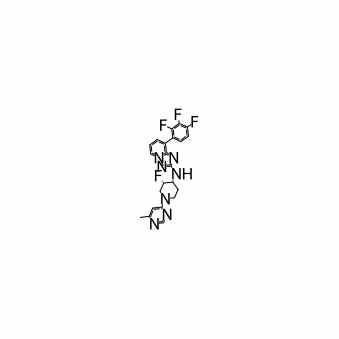 Cc1cc(N2CC[C@@H](Nc3nc4c(-c5ccc(F)c(F)c5F)cccn4n3)[C@@H](F)C2)ncn1